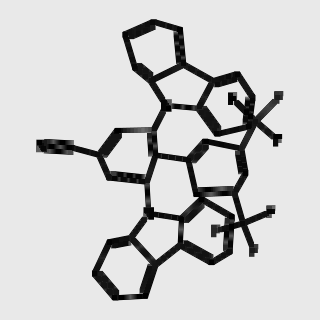 N#Cc1cc(-n2c3ccccc3c3ccccc32)c(-c2cc(C(F)(F)F)cc(C(F)(F)F)c2)c(-n2c3ccccc3c3ccccc32)c1